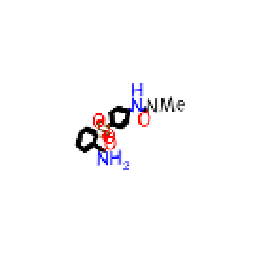 CNC(=O)Nc1ccc(S(=O)(=O)c2ccccc2C(N)=O)cc1